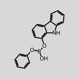 OB(Oc1ccccc1)Oc1cccc2c1[nH]c1ccccc12